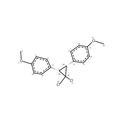 COc1ccc([C@@H]2[C@H](c3ccc(OC)cc3)C2(Cl)Cl)cc1